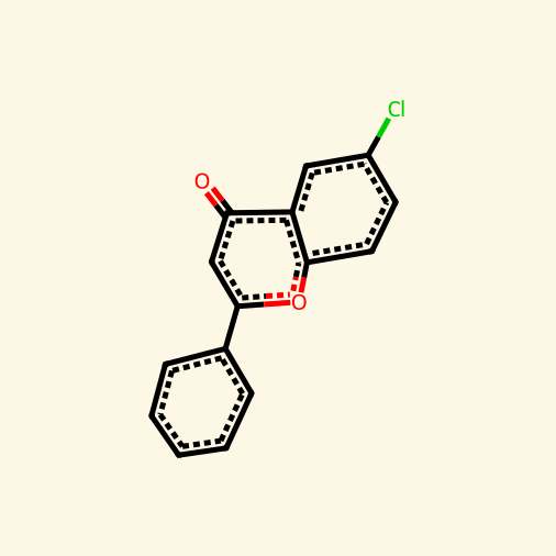 O=c1cc(-c2ccccc2)oc2ccc(Cl)cc12